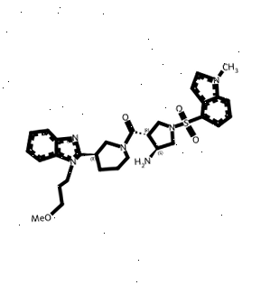 COCCCn1c([C@@H]2CCCN(C(=O)[C@@H]3CN(S(=O)(=O)c4cccc5c4ccn5C)C[C@H]3N)C2)nc2ccccc21